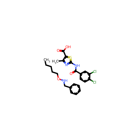 CCCCCONCc1ccccc1.Cc1nc(NC(=O)c2ccc(Cl)c(Cl)c2)sc1C(=O)O